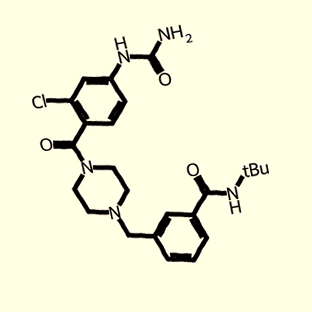 CC(C)(C)NC(=O)c1cccc(CN2CCN(C(=O)c3ccc(NC(N)=O)cc3Cl)CC2)c1